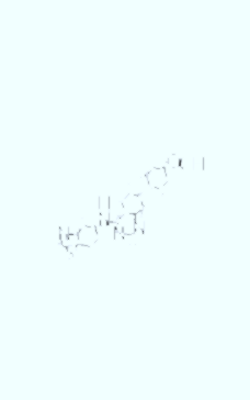 COc1ccc(-c2ccc3c(Nc4ccc5scnc5c4)ncnc3c2)cc1